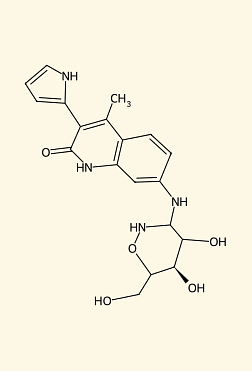 Cc1c(-c2ccc[nH]2)c(=O)[nH]c2cc(NC3NOC(CO)[C@H](O)C3O)ccc12